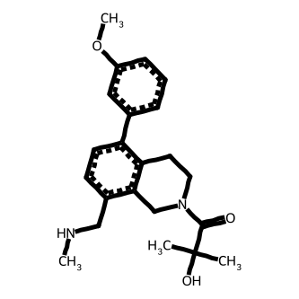 CNCc1ccc(-c2cccc(OC)c2)c2c1CN(C(=O)C(C)(C)O)CC2